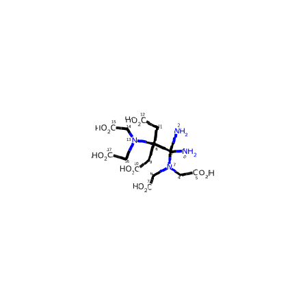 NC(N)(N(CC(=O)O)CC(=O)O)C(CC(=O)O)(CC(=O)O)N(CC(=O)O)CC(=O)O